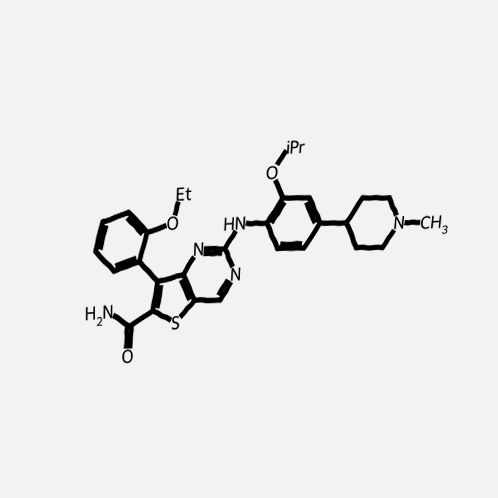 CCOc1ccccc1-c1c(C(N)=O)sc2cnc(Nc3ccc(C4CCN(C)CC4)cc3OC(C)C)nc12